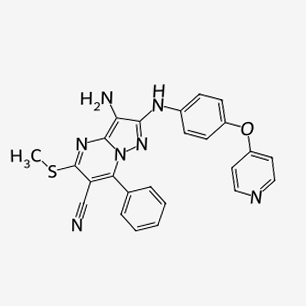 CSc1nc2c(N)c(Nc3ccc(Oc4ccncc4)cc3)nn2c(-c2ccccc2)c1C#N